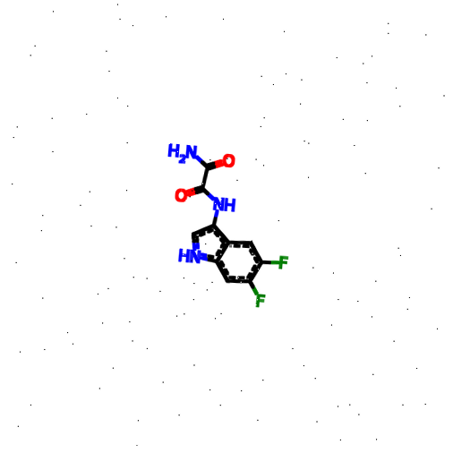 NC(=O)C(=O)Nc1c[nH]c2cc(F)c(F)cc12